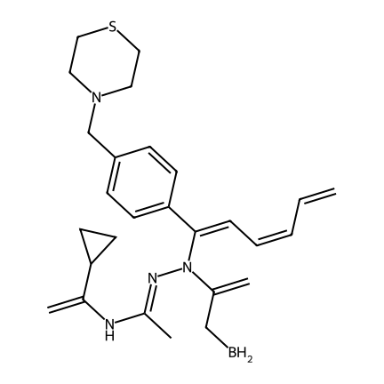 BCC(=C)N(/N=C(\C)NC(=C)C1CC1)/C(=C\C=C/C=C)c1ccc(CN2CCSCC2)cc1